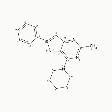 Cc1nc(N2CCCCC2)c2[nH]c(-c3cc[c]cc3)cc2n1